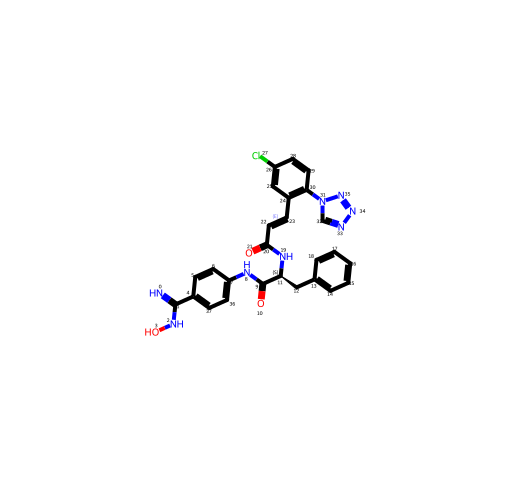 N=C(NO)c1ccc(NC(=O)[C@H](Cc2ccccc2)NC(=O)/C=C/c2cc(Cl)ccc2-n2cnnn2)cc1